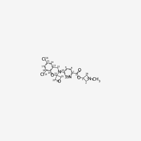 CN1CC(OC(=O)c2ccc(N3Cc4cc(Cl)cc(Cl)c4OC34COC4)cn2)C1